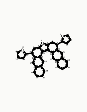 c1coc(-c2cc3oc4cc(-c5ccco5)c5cc6ccccc6cc5c4c3c3cc4ccccc4cc23)c1